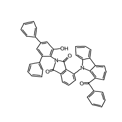 O=C(c1ccccc1)c1cccc2c3ccccc3n(-c3cccc4c3C(=O)N(c3c(O)cc(-c5ccccc5)cc3-c3ccccc3)C4=O)c12